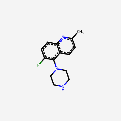 Cc1ccc2c(N3CCNCC3)c(F)ccc2n1